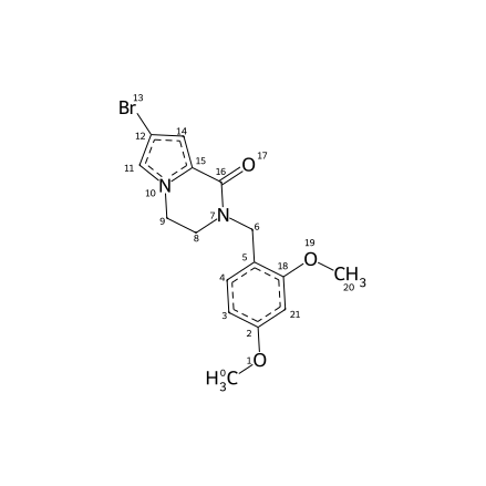 COc1ccc(CN2CCn3cc(Br)cc3C2=O)c(OC)c1